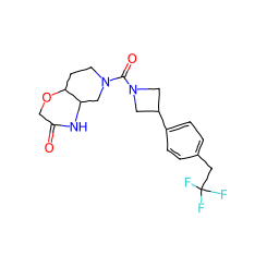 O=C1COC2CCN(C(=O)N3CC(c4ccc(CC(F)(F)F)cc4)C3)CC2N1